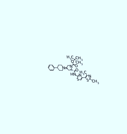 Cc1nc(C)c(-c2csc(NC(=O)[C@@H]3C[C@@H](N4CCC(c5ccccc5)CC4)CN3C(=O)OC(C)(C)C)n2)s1